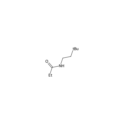 CCC(=O)NCCC(C)(C)C